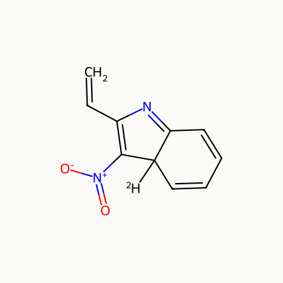 [2H]C12C=CC=CC1=NC(C=C)=C2[N+](=O)[O-]